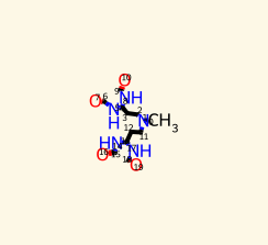 CN(CCC(NC=O)NC=O)CCC(NC=O)NC=O